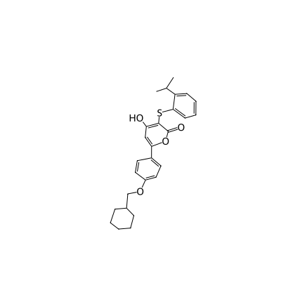 CC(C)c1ccccc1Sc1c(O)cc(-c2ccc(OCC3CCCCC3)cc2)oc1=O